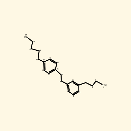 N#CCCCc1cccc(CCc2ccc(CCCCBr)cc2)c1